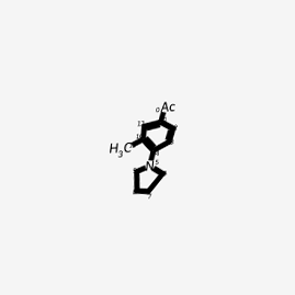 CC(=O)c1ccc(N2CCCC2)c(C)c1